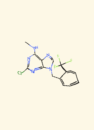 CNc1nc(Cl)nc2c1ncn2Cc1ccccc1C(F)(F)F